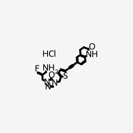 Cl.NC/C(=C\F)Cn1ncn(Cc2ccc(C#Cc3ccc4c(c3)CCC(=O)N4)s2)c1=O